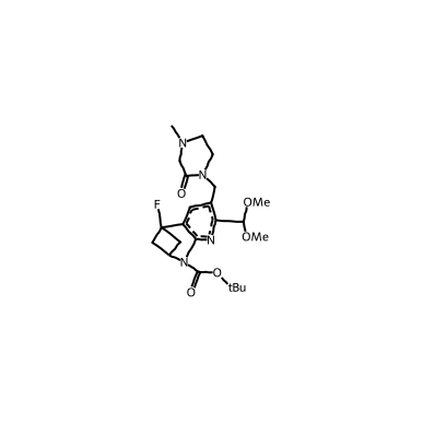 COC(OC)c1nc2c(cc1CN1CCN(C)CC1=O)C1(F)CC(C1)N2C(=O)OC(C)(C)C